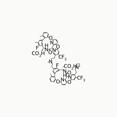 Cc1cc2cc(c1F)[C@H](CC(=O)O)NC(=O)[C@@H](n1cc(CCN(C)CCc3cc4cc(c3F)[C@H](CC(=O)O)NC(=O)[C@@H](n3cc(CCN5CCC5)c(C(F)(F)F)cc3=O)c3cccc(n3)Oc3cccc(C)c3-4)c(C(F)(F)F)cc1=O)c1cccc(n1)Oc1cccc(C)c1-2